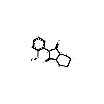 CCOc1ccccc1N1C(=O)C2CCCCC2C1=O